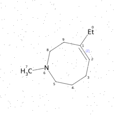 CC/C1=C/CCCN(C)CC1